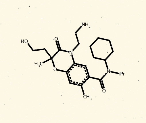 Cc1cc2c(cc1C(=O)N(C(C)C)C1CCCCC1)N(CCN)C(=O)C(C)(CCO)O2